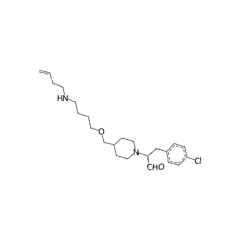 C=CCCNCCCCOCC1CCN(C(C=O)Cc2ccc(Cl)cc2)CC1